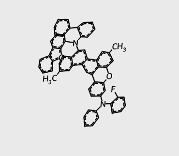 Cc1ccc2c(N(c3ccccc3-c3ccccc3)c3cccc4c3oc3ccccc34)cc3c4cc(C)cc5c4c(cc3c2c1)-c1ccc(N(c2ccccc2)c2ccccc2F)cc1O5